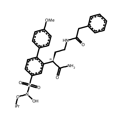 COc1ccc(-c2ccc(S(=O)(=O)N(O)OC(C)C)cc2[C@@H](CCNC(=O)Cc2ccccc2)C(N)=O)cc1